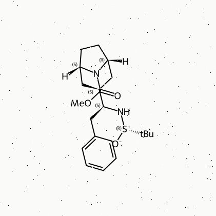 COC(=O)N1[C@@H]2CC[C@H]1C[C@H]([C@H](Cc1ccccc1)N[S@@+]([O-])C(C)(C)C)C2